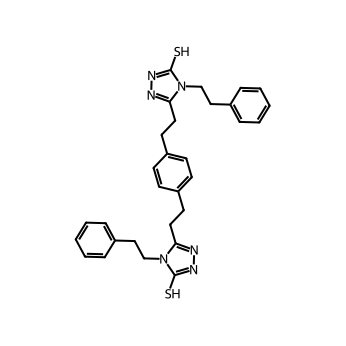 Sc1nnc(CCc2ccc(CCc3nnc(S)n3CCc3ccccc3)cc2)n1CCc1ccccc1